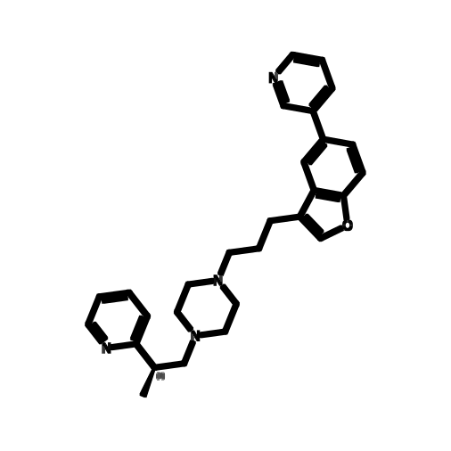 C[C@H](CN1CCN(CCCc2coc3ccc(-c4cccnc4)cc23)CC1)c1ccccn1